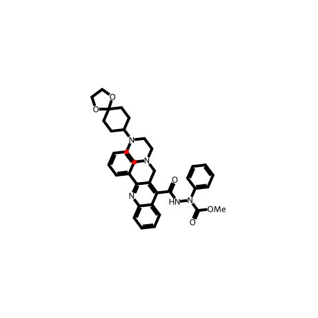 COC(=O)N(NC(=O)c1c(CN2CCN(C3CCC4(CC3)OCCO4)CC2)c(-c2ccccc2)nc2ccccc12)c1ccccc1